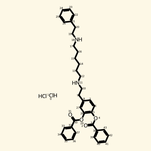 Cl.Cl.O=C(Oc1ccc(CCNCCCCCCNCCc2ccccc2)cc1OC(=O)c1ccccc1)c1ccccc1